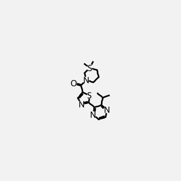 CC(C)c1nccnc1-c1ncc(C(=O)N2CCCS(C)(C)C2)s1